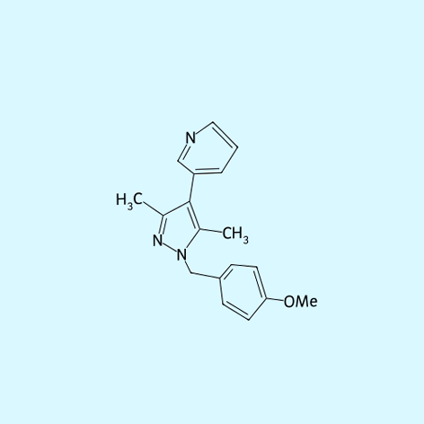 COc1ccc(Cn2nc(C)c(-c3cccnc3)c2C)cc1